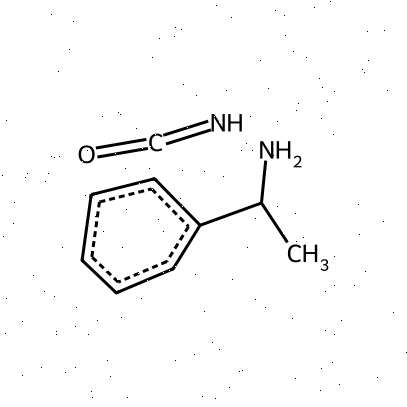 CC(N)c1ccccc1.N=C=O